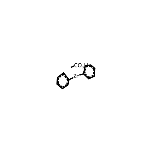 CC(=O)O.c1cc[c]([Zn][c]2ccccc2)cc1